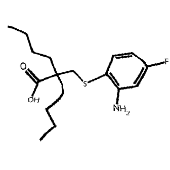 CCCCC(CCCC)(CSc1ccc(F)cc1N)C(=O)O